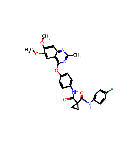 COc1cc2nc(C)nc(Oc3ccc(NC(=O)C4(C(=O)Nc5ccc(F)cc5)CC4)cc3)c2cc1OC